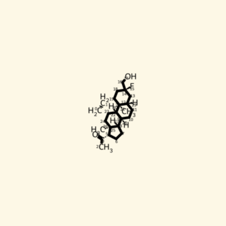 C=C.CC(=O)[C@H]1CC[C@H]2[C@@H]3CC[C@H]4C[C@@](F)(CO)CC[C@]4(C)[C@H]3CC[C@]12C